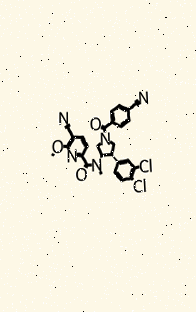 COc1nc(C(=O)N(C)[C@@H]2CN(C(=O)c3ccc(C#N)cc3)C[C@H]2c2ccc(Cl)c(Cl)c2)ccc1C#N